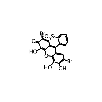 O=c1c(Br)cc2c(-c3ccccc3S(=O)(=O)O)c3cc(Br)c(O)c(O)c3oc-2c1O